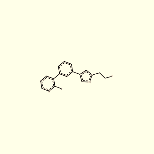 FCCn1cc(-c2cccc(-c3cccnc3F)c2)cn1